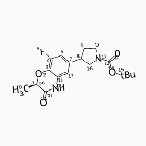 C[C@H]1Oc2c(F)cc(C3CCN(C(=O)OC(C)(C)C)C3)cc2NC1=O